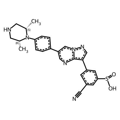 C[C@@H]1CNC[C@H](C)N1c1ccc(-c2cnc3c(-c4cc(C#N)cc(S(=O)O)c4)cnn3c2)cc1